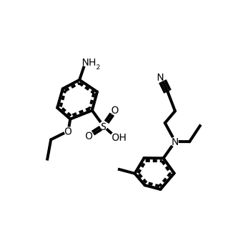 CCN(CCC#N)c1cccc(C)c1.CCOc1ccc(N)cc1S(=O)(=O)O